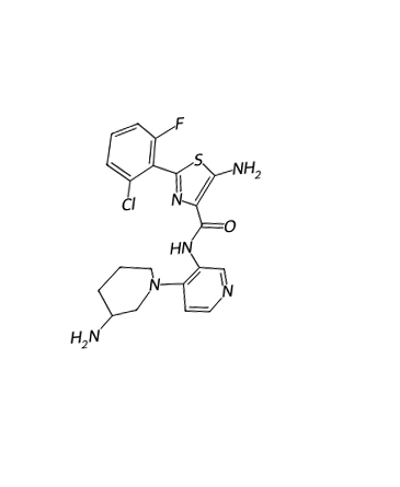 Nc1sc(-c2c(F)cccc2Cl)nc1C(=O)Nc1cnccc1N1CCCC(N)C1